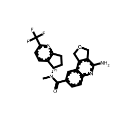 CN(C(=O)c1ccc2nc(N)c3c(c2c1)COC3)[C@H]1CCc2nc(C(F)(F)F)ccc21